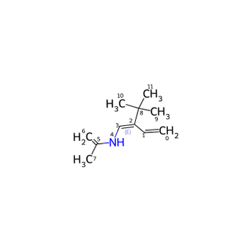 C=C/C(=C\NC(=C)C)C(C)(C)C